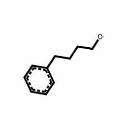 [O]CCC[CH]c1ccccc1